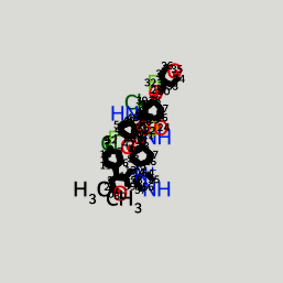 CC1(C)CC(c2ccc(Cl)cc2)=C(C[N+]2(c3ccc(C(=O)NS(=O)(=O)c4ccc(OCC5(F)CCOCC5)c(Cl)c4)c(Oc4cc5cc[nH]c5cc4F)c3)CCNCC2)CO1